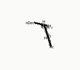 CCCCCCCCCCCCCCCCCC(=O)NC(CN)C(=O)NCCOCCOCC(=O)NCCOCCOCC(C)=O